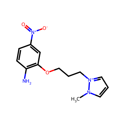 Cn1ccc[n+]1CCCOc1cc([N+](=O)[O-])ccc1N